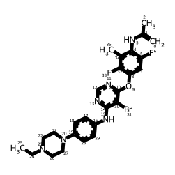 C=C(C)Nc1c(F)cc(Oc2ncnc(Nc3ccc(N4CCN(CC)CC4)cc3)c2Br)c(F)c1C